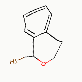 SC1OCCc2ccccc21